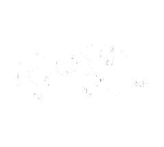 Nc1nc2cc(CN(C(=O)c3cnc(C4CC4)nc3)c3ccc4sc(CC5CCNCC5)nc4c3)ccc2c2c1COC2